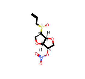 C=CC[S@@+]([O-])[C@@H]1CO[C@H]2[C@@H]1OC[C@H]2O[N+](=O)[O-]